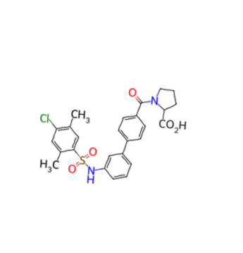 Cc1cc(S(=O)(=O)Nc2cccc(-c3ccc(C(=O)N4CCCC4C(=O)O)cc3)c2)c(C)cc1Cl